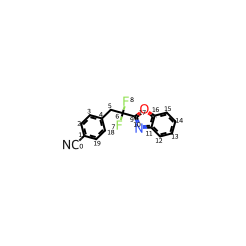 N#Cc1ccc(CC(F)(F)c2nc3ccccc3o2)cc1